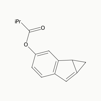 CC(C)C(=O)Oc1ccc2c(c1)C1CC1=C2